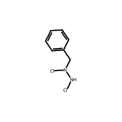 ClNN(Cl)Cc1ccccc1